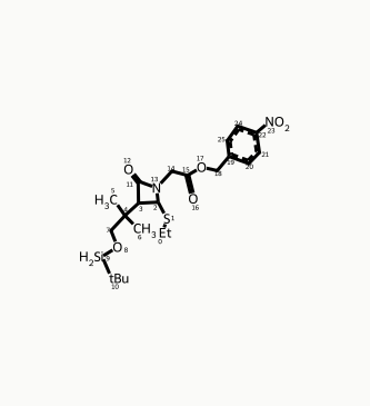 CCSC1C(C(C)(C)CO[SiH2]C(C)(C)C)C(=O)N1CC(=O)OCc1ccc([N+](=O)[O-])cc1